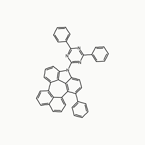 c1ccc(-c2nc(-c3ccccc3)nc(-n3c4cccc5c4c4c(c(-c6ccccc6)ccc43)-c3cccc4cccc-5c34)n2)cc1